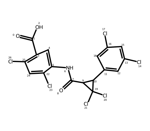 O=C(O)c1cc(NC(=O)C2C(c3cc(Cl)cc(Cl)c3)C2(Cl)Cl)c(Cl)cc1Cl